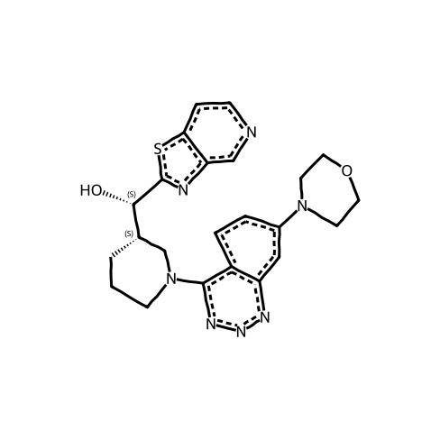 O[C@H](c1nc2cnccc2s1)[C@H]1CCCN(c2nnnc3cc(N4CCOCC4)ccc23)C1